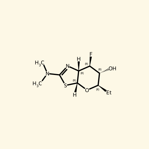 CC[C@H]1O[C@@H]2SC(N(C)C)=N[C@@H]2[C@@H](F)[C@@H]1O